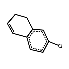 Clc1ccc2c(c1)CCC=C2